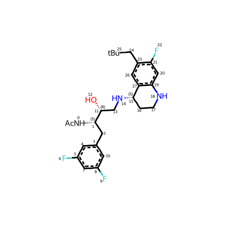 CC(=O)N[C@@H](Cc1cc(F)cc(F)c1)[C@H](O)CN[C@H]1CCNc2cc(F)c(CC(C)(C)C)cc21